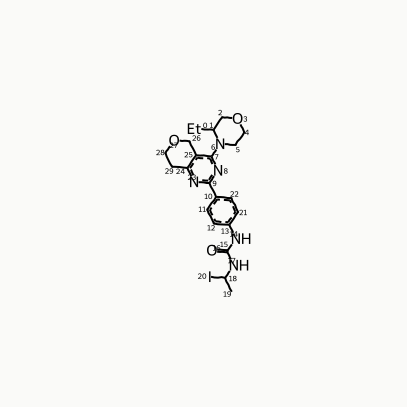 CCC1COCCN1c1nc(-c2ccc(NC(=O)NC(C)I)cc2)nc2c1COCC2